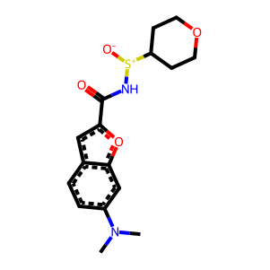 CN(C)c1ccc2cc(C(=O)N[S+]([O-])C3CCOCC3)oc2c1